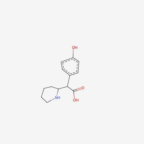 O=C(O)C(c1ccc(O)cc1)C1CCCCN1